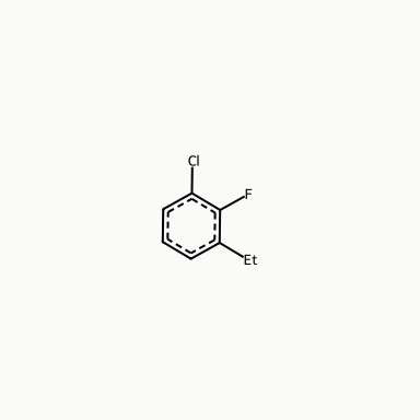 CCc1cccc(Cl)c1F